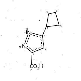 O=C(O)c1cc(C2CCC2)[nH]n1